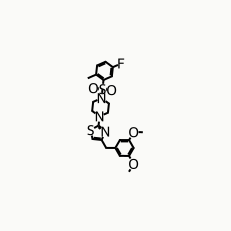 COc1cc(Cc2csc(N3CCN(S(=O)(=O)c4cc(F)ccc4C)CC3)n2)cc(OC)c1